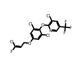 FC(Cl)=CCOc1cc(Cl)c(Oc2ncc(C(F)(F)F)cc2Cl)c(Cl)c1